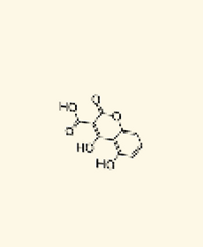 O=C(O)c1c(O)c2c(O)cccc2oc1=O